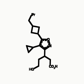 CC(C)CC1CC(c2onc(C(CCO)CC(=O)O)c2C2CC2)C1